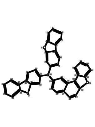 c1ccc2c(c1)oc1cc(N(c3ccc4c(c3)sc3ccccc34)c3ccc4ccc5oc6ccccc6c5c4c3)ccc12